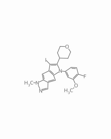 COc1cc(-n2c(C3CCOCC3)c(I)c3cc4c(cnn4C)cc32)ccc1F